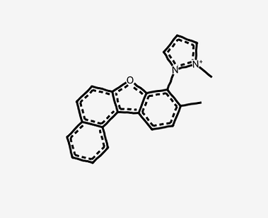 Cc1ccc2c(oc3ccc4ccccc4c32)c1-n1ccc[n+]1C